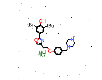 CN1CCN(Cc2ccc(OCCc3coc(-c4cc(C(C)(C)C)c(O)c(C(C)(C)C)c4)n3)cc2)CC1.Cl.Cl